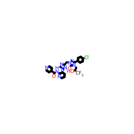 O=C(Nc1ncccc1-n1cnc(Cn2nc(-c3ccc(Cl)cc3)n(C[C@H](O)C(F)(F)F)c2=O)n1)c1ccncc1